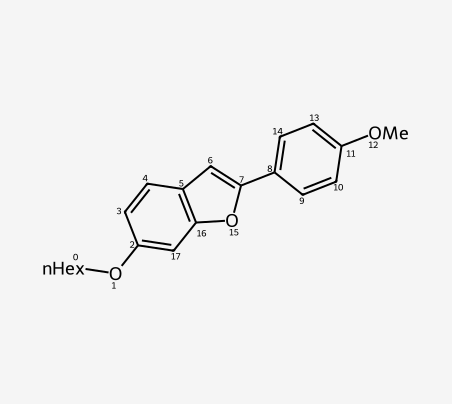 CCCCCCOc1ccc2cc(-c3ccc(OC)cc3)oc2c1